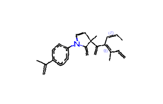 C=C/C(C)=C(\C=C/C)C(=C)C1(C)CCN(c2ccc(C(=C)C)cc2)C1=C